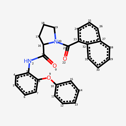 O=C(Nc1ccccc1Oc1ccccc1)C1CCCN1C(=O)c1cccc2ccccc12